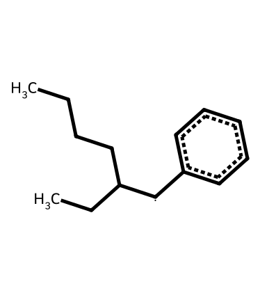 CCCCC([CH]c1ccccc1)CC